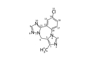 Cc1ncn2c1Cn1ncnc1-c1cc(Cl)ccc1-2